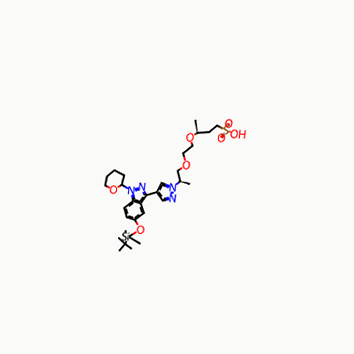 C[C@H](COCCO[C@@H](C)CCS(=O)(=O)O)n1cc(-c2nn(C3CCCCO3)c3ccc(O[Si](C)(C)C(C)(C)C)cc23)cn1